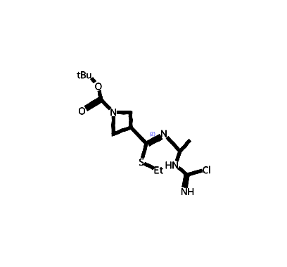 CCS/C(=N\C(C)NC(=N)Cl)C1CN(C(=O)OC(C)(C)C)C1